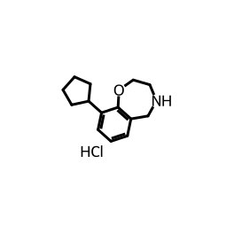 Cl.c1cc2c(c(C3CCCC3)c1)OCCNC2